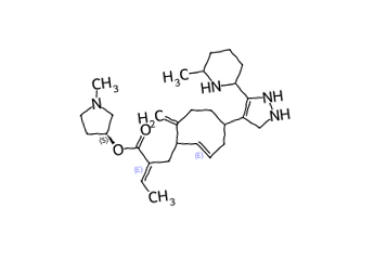 C=C1CCC(C2=C(C3CCCC(C)N3)NNC2)C/C=C/C1C/C(=C\C)C(=O)O[C@H]1CCN(C)C1